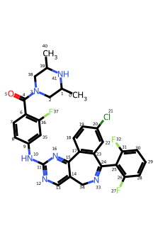 CC1CN(C(=O)c2ccc(Nc3ncc4c(n3)-c3ccc(Cl)cc3C(c3c(F)cccc3F)=NC4)cc2F)CC(C)N1